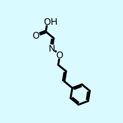 O=C(O)C=NOC/C=C/c1ccccc1